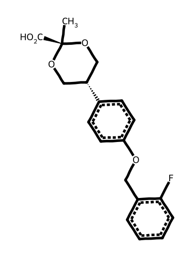 C[C@]1(C(=O)O)OC[C@H](c2ccc(OCc3ccccc3F)cc2)CO1